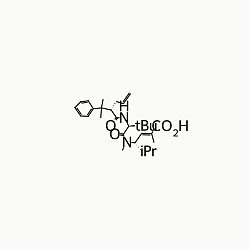 C=CC[C@H](C(=O)N[C@H](C(=O)N(C)[C@H](C=C(C)C(=O)O)C(C)C)C(C)(C)C)C(C)(C)c1ccccc1